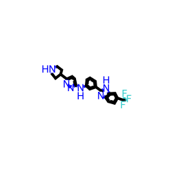 FC(F)(F)c1ccc2nc(-c3cccc(Nc4ccc(C5CCNCC5)nn4)c3)[nH]c2c1